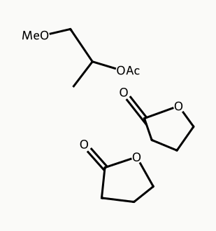 COCC(C)OC(C)=O.O=C1CCCO1.O=C1CCCO1